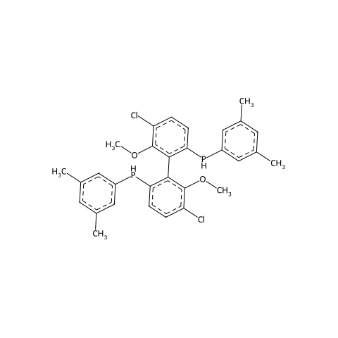 COc1c(Cl)ccc(Pc2cc(C)cc(C)c2)c1-c1c(Pc2cc(C)cc(C)c2)ccc(Cl)c1OC